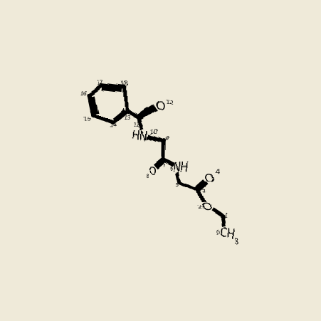 CCOC(=O)CNC(=O)CNC(=O)c1ccccc1